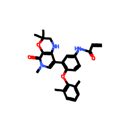 C=CC(=O)Nc1ccc(Oc2c(C)cccc2C)c(-c2cn(C)c(=O)c3c2NCC(C)(C)O3)c1